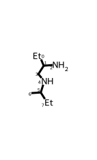 CCC(N)CNC(C)CC